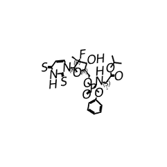 CC(C)OC(=O)[C@H](C)NP(=O)(OC[C@H]1O[C@@H](n2ccc(=S)[nH]c2=S)[C@](C)(F)C1O)Oc1ccccc1